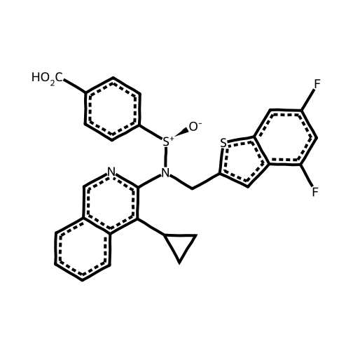 O=C(O)c1ccc([S@@+]([O-])N(Cc2cc3c(F)cc(F)cc3s2)c2ncc3ccccc3c2C2CC2)cc1